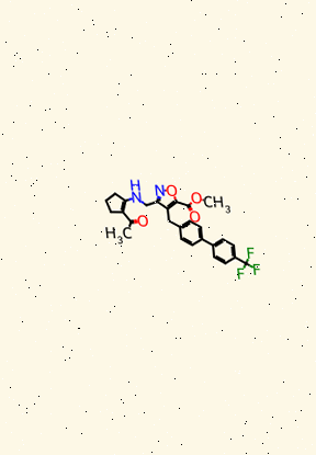 COC(=O)c1onc(CNC2=C(C(C)=O)CCC2)c1Cc1ccc(-c2ccc(C(F)(F)F)cc2)cc1